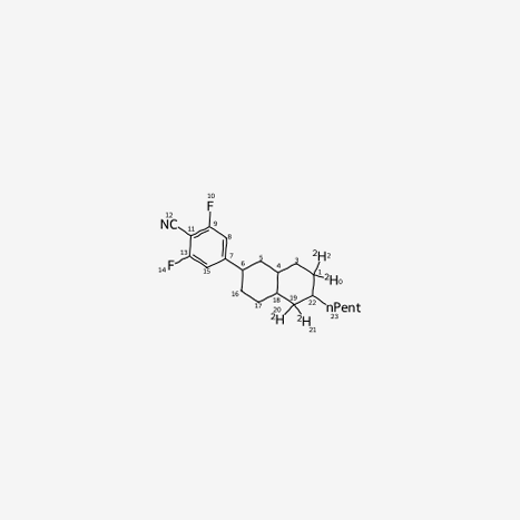 [2H]C1([2H])CC2CC(c3cc(F)c(C#N)c(F)c3)CCC2C([2H])([2H])C1CCCCC